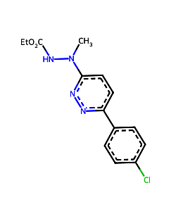 CCOC(=O)NN(C)c1ccc(-c2ccc(Cl)cc2)nn1